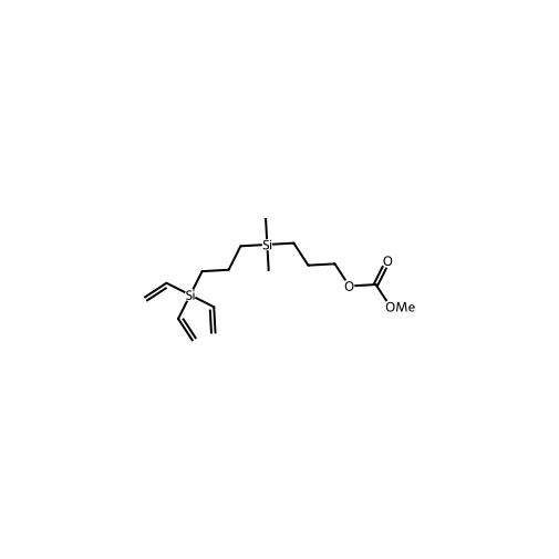 C=C[Si](C=C)(C=C)CCC[Si](C)(C)CCCOC(=O)OC